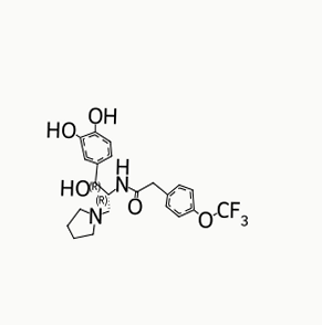 O=C(Cc1ccc(OC(F)(F)F)cc1)N[C@H](CN1CCCC1)[C@H](O)c1ccc(O)c(O)c1